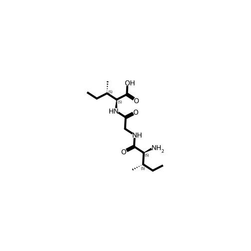 CC[C@H](C)[C@H](N)C(=O)NCC(=O)N[C@H](C(=O)O)[C@@H](C)CC